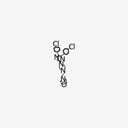 Clc1ccc(-c2ncc(N3CCN(CCN4CCOCC4)CC3)nc2-c2ccc(Cl)cc2)cc1